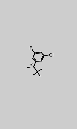 C[C@@H](c1cc(F)cc(Cl)c1)C(C)(C)C